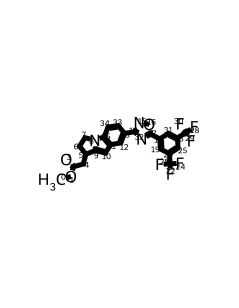 COC(=O)CC1CCn2c1cc1cc(-c3noc(-c4cc(C(F)(F)F)cc(C(F)(F)F)c4)n3)ccc12